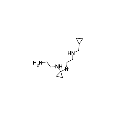 NCCNC1([N]CCNCC2CC2)CC1